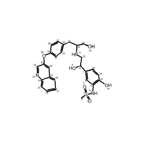 CS(=O)(=O)Nc1cc([C@@H](O)CNC(CO)Cc2ccc(Oc3cnc4ccccc4c3)cc2)ccc1O